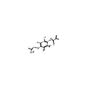 C=C(C)C(=O)Oc1c(F)c(F)c(OCC(C)O)c(F)c1F